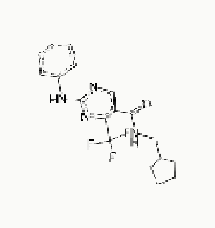 O=C(NCC1CCCC1)c1cnc(Nc2ccccc2)nc1C(F)(F)F